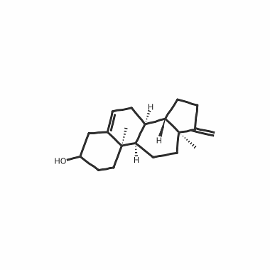 C=C1CC[C@H]2[C@@H]3CC=C4CC(O)CC[C@]4(C)[C@@H]3CC[C@]12C